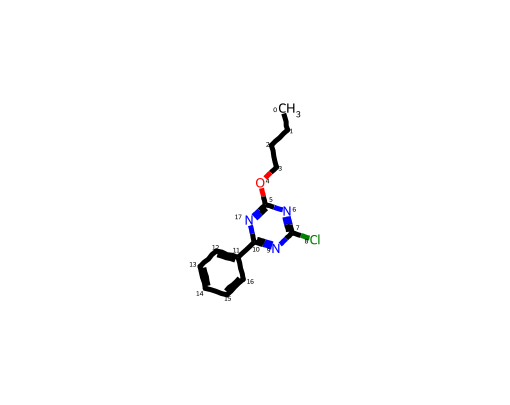 CCCCOc1nc(Cl)nc(-c2ccccc2)n1